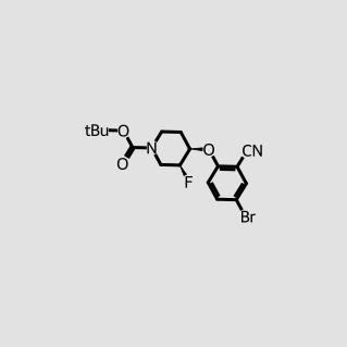 CC(C)(C)OC(=O)N1CC[C@@H](Oc2ccc(Br)cc2C#N)[C@@H](F)C1